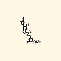 COc1cc(F)cc(CNC(=O)N2CCc3cc(-c4cn[nH]c4)c(Cl)cc32)c1